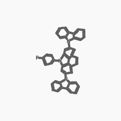 Fc1ccc(-n2c3cc(-n4c5ccccc5c5ccccc54)cc4ccc5cc(-n6c7ccccc7c7ccccc76)cc2c5c43)cc1